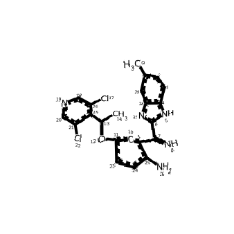 Cc1ccc2[nH]c(C(=N)c3cc(OC(C)c4c(Cl)cncc4Cl)ccc3N)nc2c1